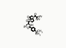 CCCC(CCC)C(=O)N1CC(=O)[C@@H]2C1CCN2C(=O)[C@H](CC(C)C)NC(=O)c1ccc(N(C)C)cc1